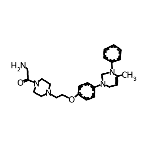 CC1=CCN(c2ccc(OCCN3CCN(C(=O)CN)CC3)cc2)CN1c1ccccc1